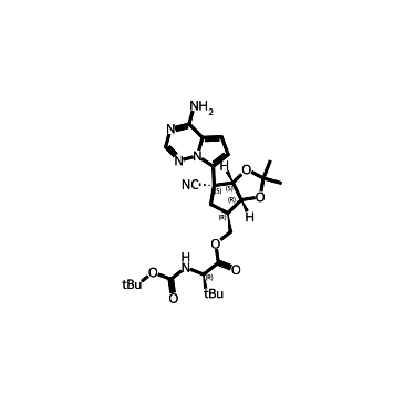 CC(C)(C)OC(=O)N[C@@H](C(=O)OC[C@H]1C[C@@](C#N)(c2ccc3c(N)ncnn23)[C@@H]2OC(C)(C)O[C@H]12)C(C)(C)C